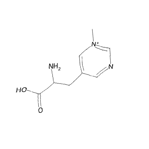 C[n+]1cncc(CC(N)C(=O)O)c1